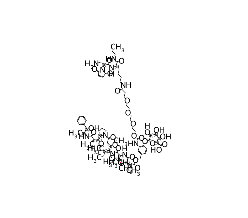 CCCNC(=O)[C@H](CCCCNC(=O)CCOCCOCCOCCOC(=O)Nc1cc(COC(=O)N(C)[C@H](C(=O)N[C@H](C(=O)N(C)[C@@H]([C@@H](C)CC)[C@@H](CC(=O)N2CCC[C@H]2[C@H](OC)[C@@H](C)C(=O)N[C@H](C)[C@@H](O)c2ccccc2)OC)C(C)C)C(C)C)ccc1O[C@@H]1O[C@H](C(=O)O)[C@@H](O)[C@H](O)[C@H]1O)NC(=O)[C@@H](CN)N1C(=O)C=CC1=O